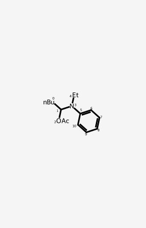 CCCCC(OC(C)=O)N(CC)c1ccccc1